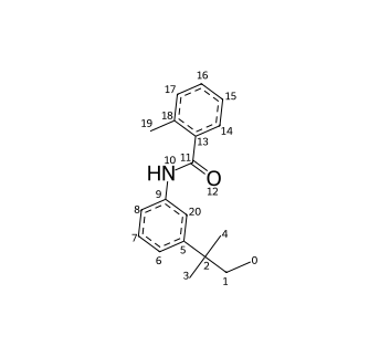 CCC(C)(C)c1cccc(NC(=O)c2ccccc2C)c1